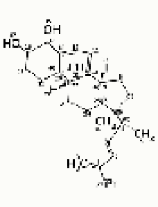 C=C(C=C[C@@H](C)[C@H]1CC[C@H]2C3=CC=C4C(O)C(O)CC[C@]4(C)[C@H]3CC[C@]12C)C(C)C